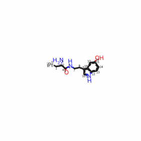 CC(C)C[C@H](N)C(=O)NCCc1c[nH]c2ccc(O)cc12